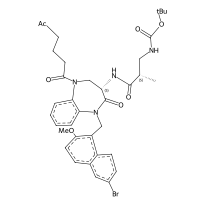 COc1ccc2cc(Br)ccc2c1CN1C(=O)[C@@H](NC(=O)[C@@H](C)CNC(=O)OC(C)(C)C)CN(C(=O)CCCC(C)=O)c2ccccc21